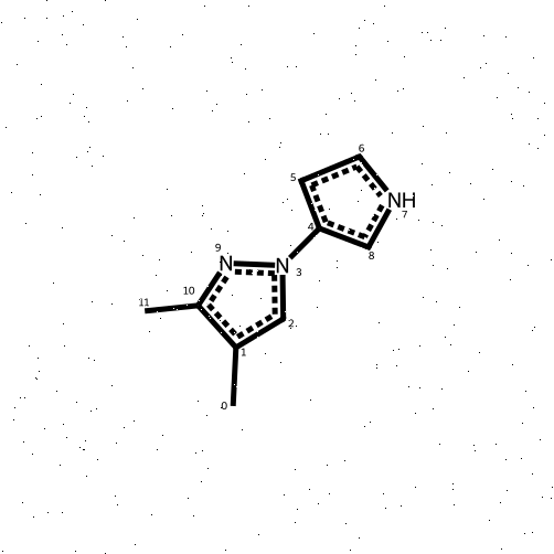 Cc1cn(-c2cc[nH]c2)nc1C